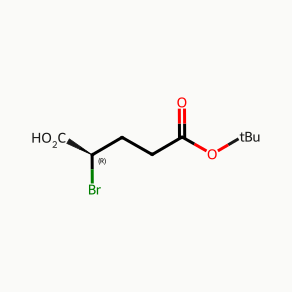 CC(C)(C)OC(=O)CC[C@@H](Br)C(=O)O